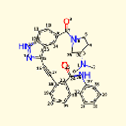 CN(C)[C@H]1CCN(C(=O)c2ccc3[nH]nc(C#Cc4ccccc4C(=O)Nc4ccccc4)c3c2)C1